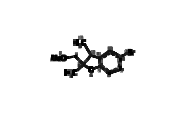 COCC1(C)Oc2ccc(Br)cc2C1C